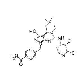 CC1(C)CCc2c(Nc3ccnc(Cl)c3Cl)nc3c(c(O)nn3Cc3ccc(C(N)=O)cc3)c2C1